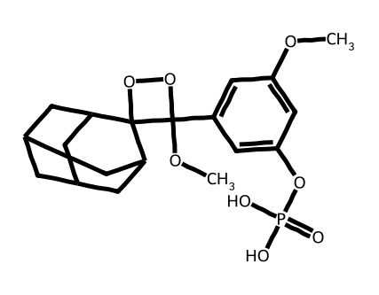 COc1cc(OP(=O)(O)O)cc(C2(OC)OOC23C2CC4CC(C2)CC3C4)c1